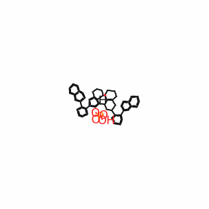 O=P1(O)Oc2c(-c3ccccc3-c3ccc4ccccc4c3)cc3c(c2[C@H]2C4=C(CCCC4)CC(c4ccccc4-c4ccc5ccccc5c4)C2O1)CCCC3